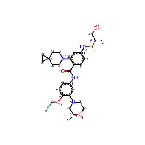 C[C@@H]1CN(c2cc(NC(=O)c3ccc(NS[C@@H](C)CO)cc3N3CCC4(CC3)CC4)ccc2OCF)CCO1